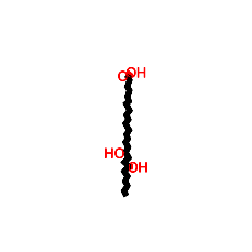 CCCCCCC(O)CCC(O)CCCCCCCCCCCCCCCC(=O)O